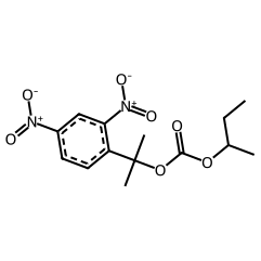 CCC(C)OC(=O)OC(C)(C)c1ccc([N+](=O)[O-])cc1[N+](=O)[O-]